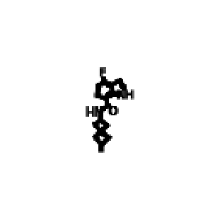 CC1CC2(C1)CC(NC(=O)c1ccc(F)c3cc[nH]c13)C2